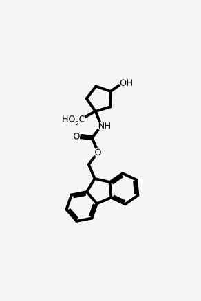 O=C(NC1(C(=O)O)CCC(O)C1)OCC1c2ccccc2-c2ccccc21